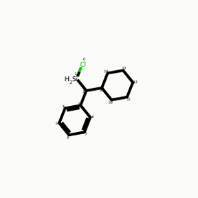 Cl[SiH2]C(c1ccccc1)C1CCCCC1